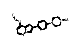 CCN1CCN(c2ccc(-c3cc4c(OSF)ccnn4c3)cc2)CC1